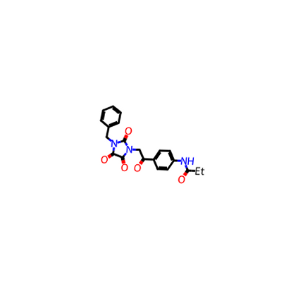 CCC(=O)Nc1ccc(C(=O)CN2C(=O)C(=O)N(Cc3ccccc3)C2=O)cc1